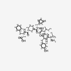 CCC(C)[C@H](NC(=O)[C@H](Cc1ccc(O)cc1)NC(=O)[C@@H](N)C(C)C)C(=O)N[C@@H](Cc1c[nH]cn1)C(=O)N1CCC[C@@H](C(=O)N[C@H](CC(=O)O)Cc2ccccc2)C1